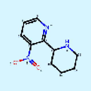 O=[N+]([O-])c1cccnc1C1CCCCN1